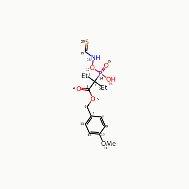 CCC(CC)(C(=O)OCc1ccc(OC)cc1)P(=O)(O)ONC=S